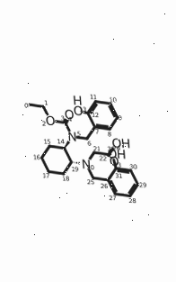 CCOC(=O)N(Cc1ccccc1O)[C@@H]1CCCC[C@H]1N(CC(=O)O)Cc1ccccc1O